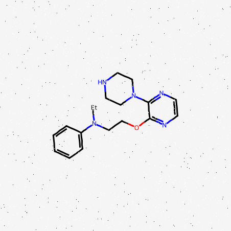 CCN(CCOc1nccnc1N1CCNCC1)c1ccccc1